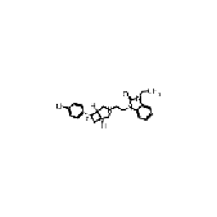 CCn1c(=O)n(CCN2C[C@H]3C[C@H](c4ccc(Cl)cc4)[C@H]3C2)c2ccccc21